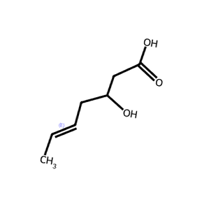 C/C=C/CC(O)CC(=O)O